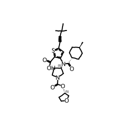 CC(C)(C)C#Cc1cc(N(C(=O)[C@H]2CC[C@H](C)CC2)[C@H]2CCN(C(=O)O[C@H]3CCOC3)C2)c(C(=O)O)s1